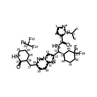 CC(C)n1nccc1C(=O)NC(c1cn2nc(CC3C[C@@H](C(F)(F)F)CNC3=O)ccc2n1)[C@@H]1CCCC(F)(F)C1